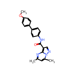 COc1ccc(-c2ccc(NC(=O)c3cnn4c(C)cc(C)nc34)cc2)cc1